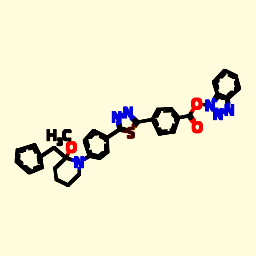 COC1(Cc2ccccc2)CCCCN1c1ccc(-c2nnc(-c3ccc(C(=O)On4nnc5ccccc54)cc3)s2)cc1